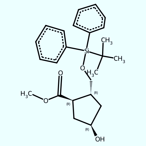 COC(=O)[C@@H]1C[C@H](O)C[C@H]1CO[Si](c1ccccc1)(c1ccccc1)C(C)(C)C